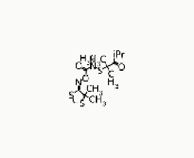 CC(C)C(=O)C(C)(C)SN(C)C(=O)ON=C1SCSC1(C)C